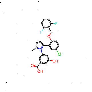 Cc1ccc(-c2cc(Cl)ccc2OCc2c(F)cccc2F)n1-c1cc(O)cc(C(=O)O)c1